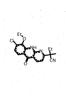 CCOc1c(Cl)ccc2c(=O)c3ccc(C(C)(C#N)CC)nc3[nH]c12